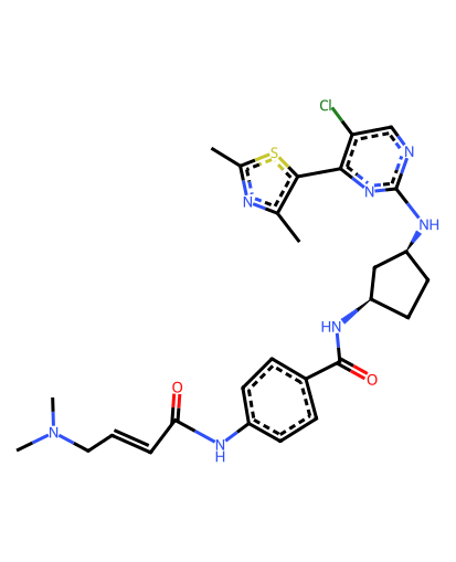 Cc1nc(C)c(-c2nc(N[C@H]3CC[C@@H](NC(=O)c4ccc(NC(=O)/C=C/CN(C)C)cc4)C3)ncc2Cl)s1